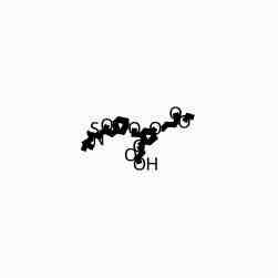 CCOC(=O)CCCOc1ccc(OCC(=O)O)c(COc2ccc3oc(-c4nc(C(C)(C)C)cs4)cc3c2)c1